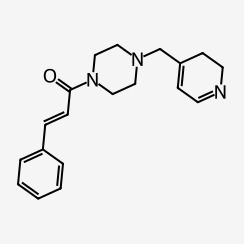 O=C(/C=C/c1ccccc1)N1CCN(CC2=CC=NCC2)CC1